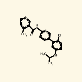 Cc1ccncc1C(=O)Nc1ccc(-c2cc(NC(C)C)ccc2Cl)cn1